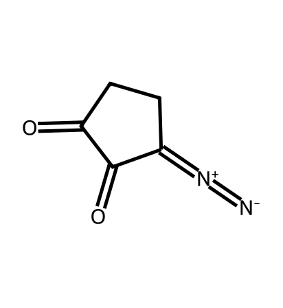 [N-]=[N+]=C1CCC(=O)C1=O